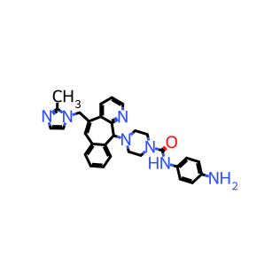 Cc1nccn1CC1=Cc2ccccc2C(N2CCN(C(=O)Nc3ccc(N)cc3)CC2)c2ncccc21